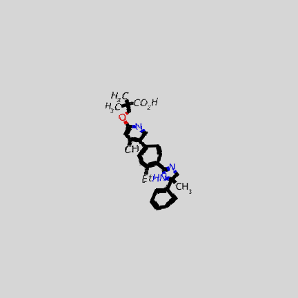 CCC1=C(C2=NCC(C)(c3ccccc3)N2)C=CC(c2cnc(OCC(C)(C)C(=O)O)cc2C)=CC1